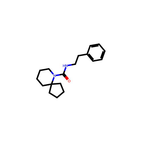 O=C(NCCc1ccccc1)N1CCCCC12CCCC2